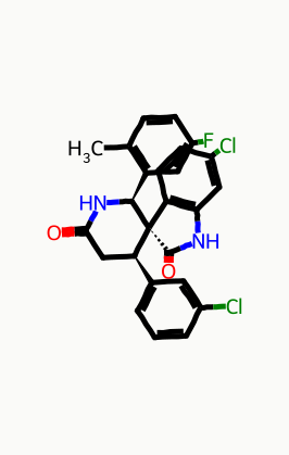 Cc1ccc(F)cc1[C@@H]1NC(=O)C[C@H](c2cccc(Cl)c2)[C@@]12C(=O)Nc1cc(Cl)ccc12